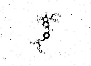 CC[C@H](C)N1C(=O)C(C)(C)c2cnc(Nc3ccc(CNC(C)COC)cc3)nc21